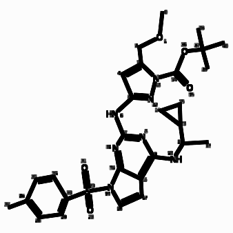 COCc1cc(Nc2nc(NC(C)C3CC3)c3ccn(S(=O)(=O)c4ccc(C)cc4)c3n2)nn1C(=O)OC(C)(C)C